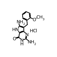 COc1ccccc1Cc1c(N)[nH]c2c(=O)[nH]c(N)nc12.Cl